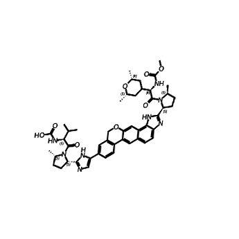 COC(=O)N[C@@H](C(=O)N1[C@@H](C)CC[C@H]1c1nc2ccc3cc4c(cc3c2[nH]1)OCc1cc(-c2cnc([C@@H]3CC[C@H](C)N3C(=O)[C@@H](NC(=O)O)C(C)C)[nH]2)ccc1-4)C1C[C@@H](C)O[C@@H](C)C1